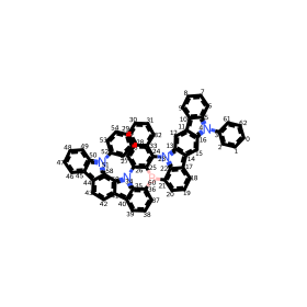 c1ccc(-n2c3ccccc3c3cc4c(cc32)c2cccc3c2n4-c2c4c(cc5ccccc25)-n2c5c(cccc5c5ccc6c7ccccc7n(-c7ccccc7)c6c52)B43)cc1